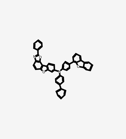 c1ccc(-c2ccc(N(c3ccc(-c4cccc5c4oc4ccccc45)cc3)c3ccc4c(c3)oc3ccc5nc(-c6ccccc6)oc5c34)cc2)cc1